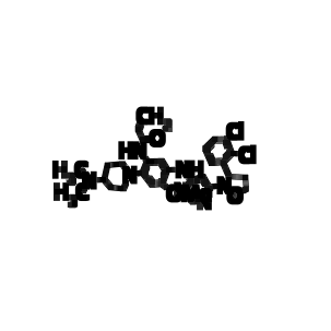 C=CC(=O)Nc1cc(Nc2cc(N3OCCC3c3cccc(Cl)c3Cl)ncn2)c(OC)cc1N1CCC(N(C)C)CC1